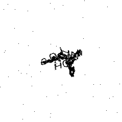 COC/C=C/C(=O)Nc1cccc(N2C(=O)N(Cc3ccccc3)Cc3cnc(Nc4cn(C)nc4F)nc32)c1